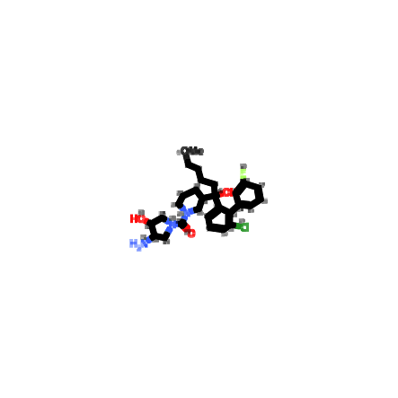 COCCCCC(O)(c1cccc(Cl)c1-c1cccc(F)c1)C1CCCN(C(=O)N2CC(N)C(O)C2)C1